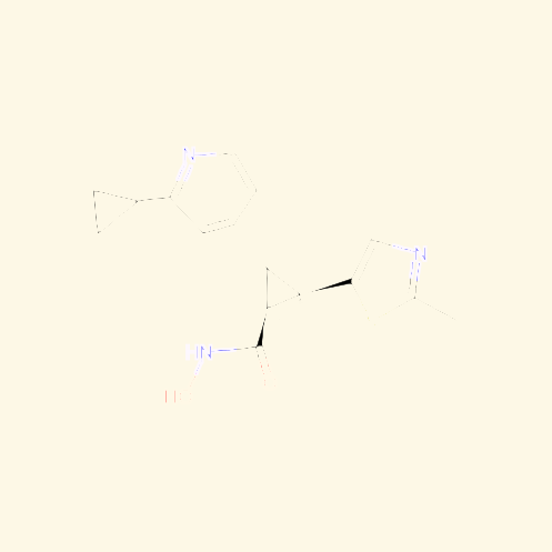 Cc1ncc([C@H]2[C@@H](C(=O)NO)[C@@H]2c2ccnc(C3CC3)c2)s1